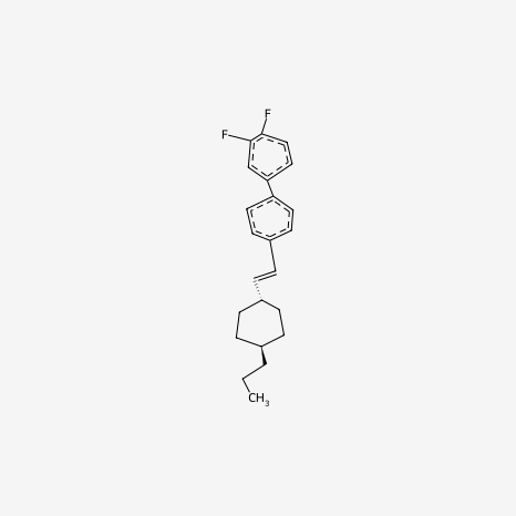 CCC[C@H]1CC[C@H](C=Cc2ccc(-c3ccc(F)c(F)c3)cc2)CC1